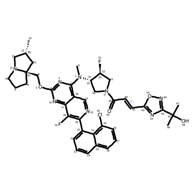 CN(c1nc(OC[C@@]23CCCN2C[C@H](F)C3)nc2c(F)c(-c3cccc4cccc(Cl)c34)ncc12)[C@H]1CN(C(=O)/C=C/c2nc(C(C)(C)O)no2)C[C@@H]1F